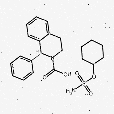 NS(=O)(=O)OC1CCCCC1.O=C(O)N1CCc2ccccc2[C@H]1c1ccccc1